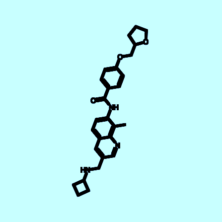 Cc1c(NC(=O)c2ccc(OCC3CCCO3)cc2)ccc2cc(CNC3CCC3)cnc12